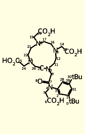 CC(C)(C)c1cc(N(CC(=O)O)C(=O)CN2CCN(CC(=O)O)CCN(CC(=O)O)CCN(CC(=O)O)CC2)cc(C(C)(C)C)c1